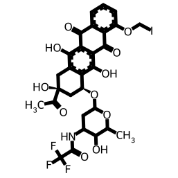 CC(=O)[C@]1(O)Cc2c(O)c3c(c(O)c2[C@@H](OC2CC(NC(=O)C(F)(F)F)C(O)C(C)O2)C1)C(=O)c1c(OCI)cccc1C3=O